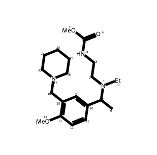 CCN(CCNC(=O)OC)C(C)c1ccc(OC)c(CN2CCCCC2)c1